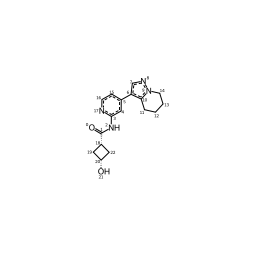 O=C(Nc1cc(-c2cnn3c2CCCC3)ccn1)[C@H]1C[C@@H](O)C1